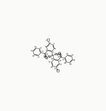 NC(N)(c1ccc(Cl)cc1C(=O)c1ccccc1)c1ccc(Cl)cc1C(=O)c1ccccc1